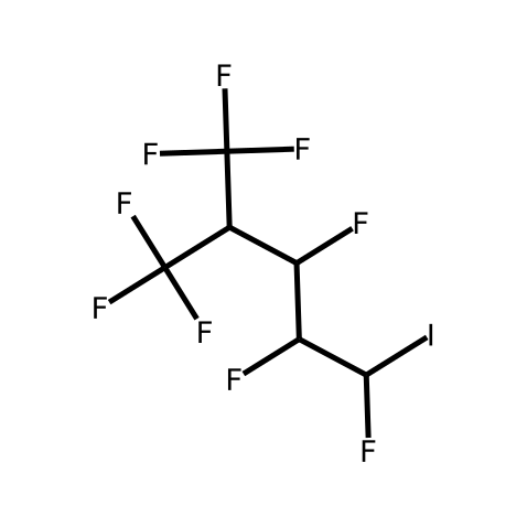 FC(I)C(F)C(F)C(C(F)(F)F)C(F)(F)F